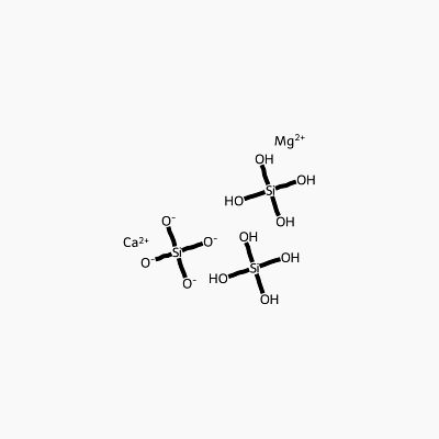 O[Si](O)(O)O.O[Si](O)(O)O.[Ca+2].[Mg+2].[O-][Si]([O-])([O-])[O-]